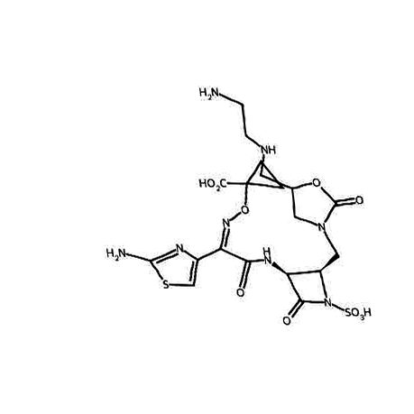 NCCNCC1CN(C[C@@H]2[C@H](NC(=O)C(=NOC3(C(=O)O)CC3)c3csc(N)n3)C(=O)N2S(=O)(=O)O)C(=O)O1